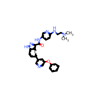 CN(C)CCNc1ccc(NC(=O)c2n[nH]c3ccc(-c4cncc(Oc5ccccc5)c4)cc23)cn1